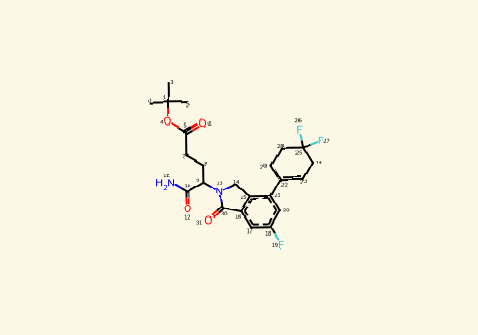 CC(C)(C)OC(=O)CCC(C(N)=O)N1Cc2c(cc(F)cc2C2=CCC(F)(F)CC2)C1=O